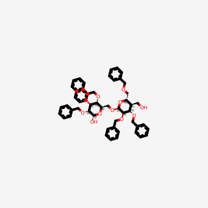 OC[C@H]1[C@H](OCc2ccccc2)[C@@H](OCc2ccccc2)[C@@H](OC[C@H]2O[C@H](O)[C@H](OCc3ccccc3)[C@@H](OCc3ccccc3)[C@@H]2OCc2ccccc2)O[C@@H]1COCc1ccccc1